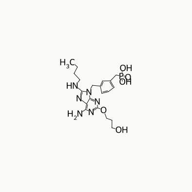 CCCCNc1nc2c(N)nc(OCCCO)nc2n1Cc1cccc(CP(=O)(O)O)c1